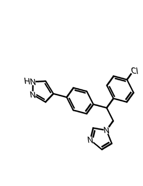 Clc1ccc(C(Cn2ccnc2)c2ccc(-c3cn[nH]c3)cc2)cc1